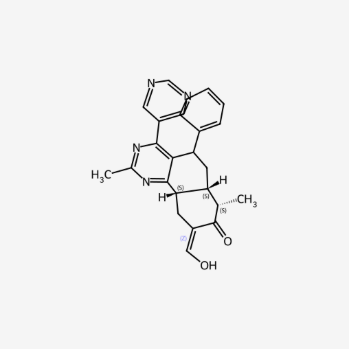 Cc1nc(-c2cncnc2)c2c(n1)[C@H]1C/C(=C/O)C(=O)[C@@H](C)[C@H]1CC2c1ccccc1